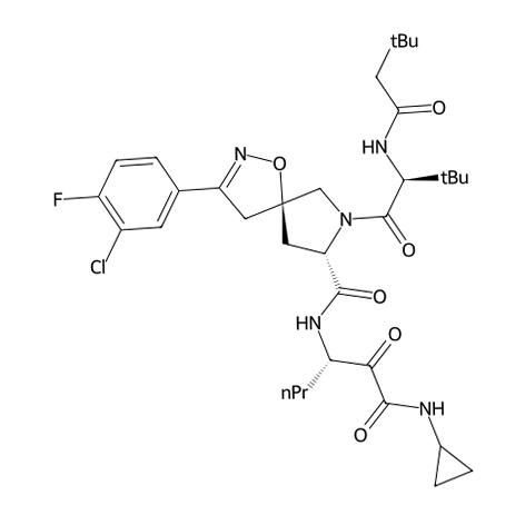 CCC[C@H](NC(=O)[C@@H]1C[C@]2(CC(c3ccc(F)c(Cl)c3)=NO2)CN1C(=O)[C@@H](NC(=O)CC(C)(C)C)C(C)(C)C)C(=O)C(=O)NC1CC1